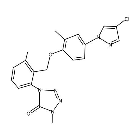 Cc1cc(-n2cc(Cl)cn2)ccc1OCc1c(C)cccc1-n1nnn(C)c1=O